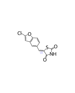 O=C1NC(=O)/C(=C/c2ccc3oc(Cl)cc3c2)S1